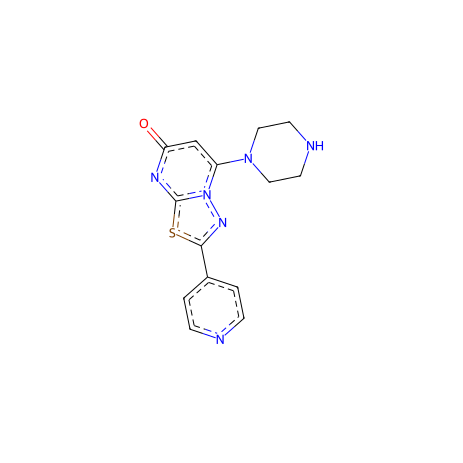 O=c1cc(N2CCNCC2)n2nc(-c3ccncc3)sc2n1